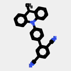 CC1c2ccccc2N(c2ccc(-c3cc(C#N)ccc3C#N)cc2)c2ccccc21